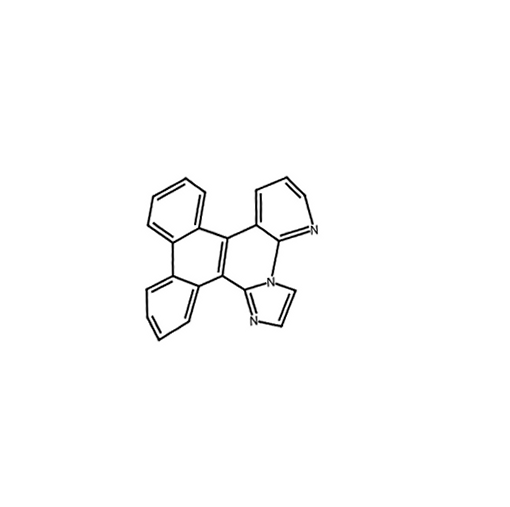 c1ccc2c(c1)c1ccccc1c1c2c2cccnc2n2ccnc12